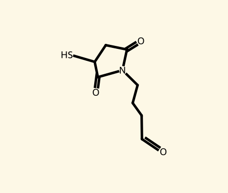 O=CCCCN1C(=O)CC(S)C1=O